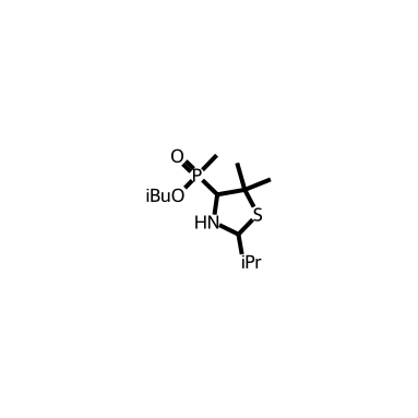 CC(C)COP(C)(=O)C1NC(C(C)C)SC1(C)C